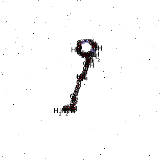 CO[C@H]1C[C@@H]2CC[C@@H](C)[C@@](O)(O2)C(=O)C(=O)N2CCCC[C@H]2C(=O)O[C@H]([C@H](N)C[C@@H]2CC[C@@H](OC(=O)NCCOCCOCCN3C[C@@H]4C[C@H]3CN4CCOCCOCCOCCOCCC(=O)N3CCc4cc(Cn5nc(-c6ccc7oc(N)nc7c6)c6c(N)ncnc65)ccc4C3)[C@H](OC)C2)C[C@@H](O)[C@H](C)/C=C(\C)[C@@H](O)[C@@H](OC)C(=O)[C@H](C)C[C@H](C)/C=C/C=C/C=C/1C